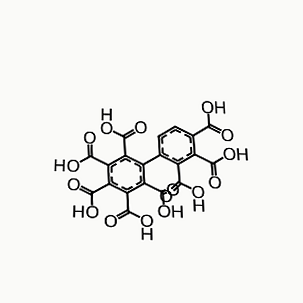 O=C(O)c1ccc(-c2c(C(=O)O)c(C(=O)O)c(C(=O)O)c(C(=O)O)c2C(=O)O)c(C(=O)O)c1C(=O)O